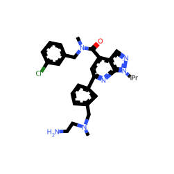 CC(C)n1ncc2c(C(=O)N(C)Cc3cccc(Cl)c3)cc(-c3cccc(CN(C)CCN)c3)nc21